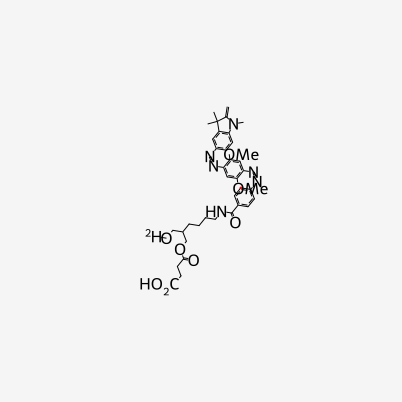 [2H]OCC(CCCCNC(=O)c1ccc(/N=N\c2cc(OC)c(/N=N\c3ccc4c(c3)C(C)(C)C(=C)N4C)cc2OC)cc1)COC(=O)CCC(=O)O